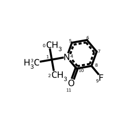 CC(C)(C)n1cccc(F)c1=O